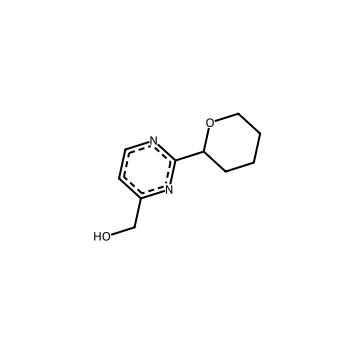 OCc1ccnc(C2CCCCO2)n1